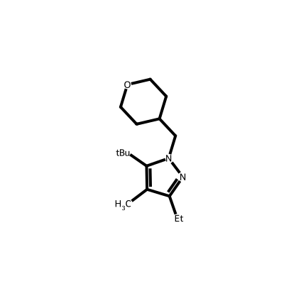 CCc1nn(CC2CCOCC2)c(C(C)(C)C)c1C